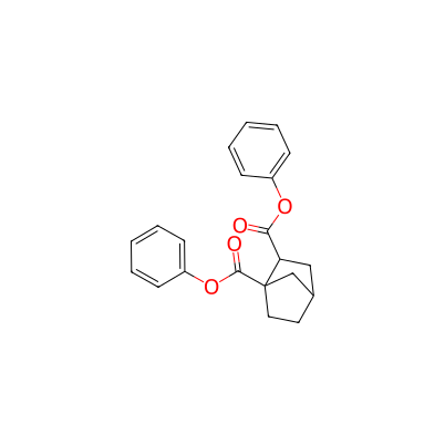 O=C(Oc1ccccc1)C1CC2CCC1(C(=O)Oc1ccccc1)C2